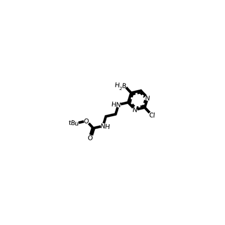 Bc1cnc(Cl)nc1NCCNC(=O)OC(C)(C)C